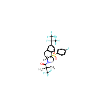 CC(C)(C(=O)N1CC[C@@]2(S(=O)(=O)c3ccc(F)cc3)c3ccc(C(F)(C(F)(F)F)C(F)(F)F)cc3CC[C@@H]12)C(F)(F)F